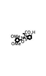 COc1cccc(OC)c1C(=O)N=c1sc2ccccc2n1C(C)C(=O)O